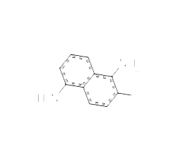 Nc1cccc2c(N)c(Cl)ccc12